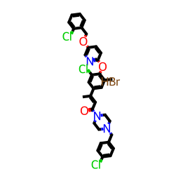 Br.C/C(=C\C(=O)N1CCN(Cc2ccc(Cl)cc2)CC1)c1cc(C)c(Oc2ccc(OCc3ccccc3Cl)cn2)c(Cl)c1